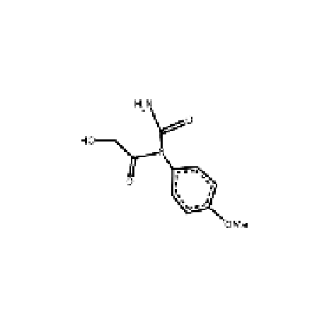 COc1ccc(N(C(N)=O)C(=O)CO)cc1